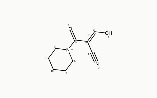 N#C/C(=C\O)C(=O)N1CCCCC1